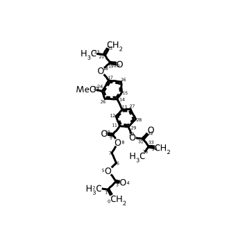 C=C(C)C(=O)OCCOC(=O)c1cc(-c2ccc(OC(=O)C(=C)C)c(OC)c2)ccc1OC(=O)C(=C)C